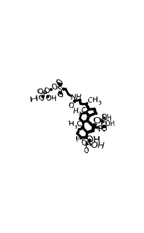 CC(CCC(=O)NCCS(=O)(=O)OCOP(=O)(O)O)C1CCC2C3C(CCC12C)C1(C)CCC(F)(OP(=O)(O)O)CC1CC3(F)OP(=O)(O)O